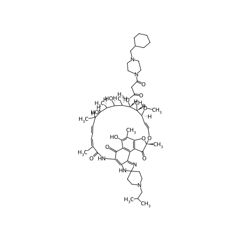 CO[C@H]1/C=C/O[C@@]2(C)Oc3c(C)c(O)c4c(c3C2=O)C2=NC3(CCN(CC(C)C)CC3)NC2=C(NC(=O)/C(C)=C\C=C\[C@H](C)[C@H](O)[C@@H](C)[C@@H](O)[C@@H](C)[C@H](OC(=O)CC(=O)N2CCN(CC3CCCCC3)CC2)[C@@H]1C)C4=O